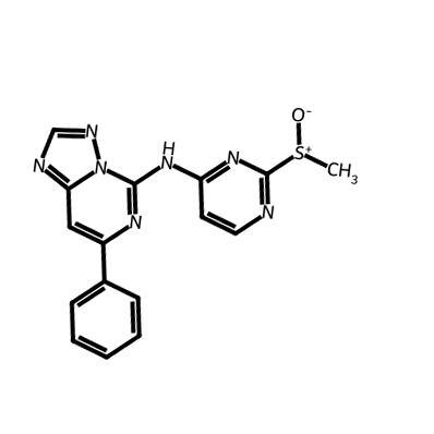 C[S+]([O-])c1nccc(Nc2nc(-c3ccccc3)cc3ncnn23)n1